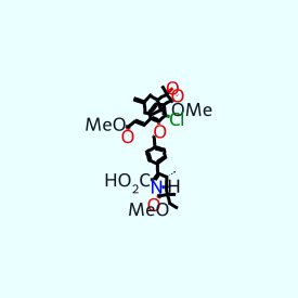 C=C1CCCC(C2(C)OOC2(OC)c2ccc(/C=C/C(=O)OC)c(OCc3ccc(C4=C(C(=O)O)N5C(=O)C(C)([C@@H](C)OC)[C@H]5[C@H]4C)cc3)c2Cl)C1